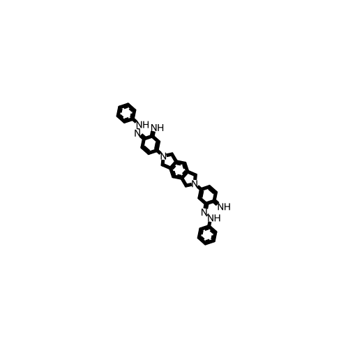 N=C1C=C(N2Cc3cc4c(cc3C2)CN(C2=C/C(=N/Nc3ccccc3)C(=N)C=C2)C4)C=C/C1=N/Nc1ccccc1